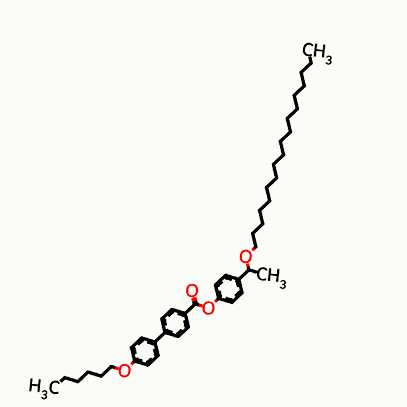 CCCCCCCCCCCCCCCCCCOC(C)c1ccc(OC(=O)c2ccc(-c3ccc(OCCCCCC)cc3)cc2)cc1